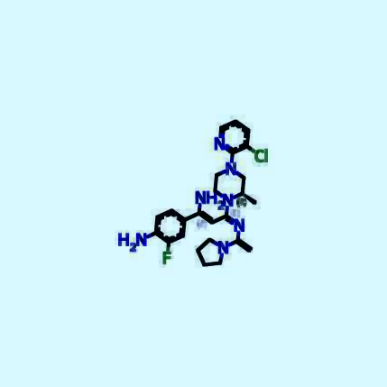 C=C(/N=C(\C=C(/N)c1ccc(N)c(F)c1)N1CCN(c2ncccc2Cl)C[C@H]1C)N1CCCC1